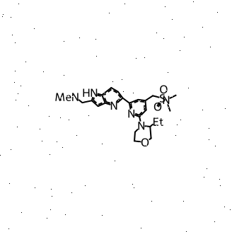 CCC1COCCN1c1cc(CS(=O)(=O)N(C)C)cc(-c2ccc3[nH]c(CNC)cc3n2)n1